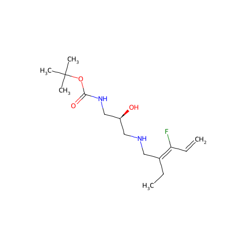 C=C/C(F)=C(\CC)CNC[C@H](O)CNC(=O)OC(C)(C)C